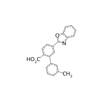 Cc1cccc(-c2cc(-c3nc4ccccc4o3)ccc2C(=O)O)c1